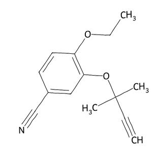 C#CC(C)(C)Oc1cc(C#N)ccc1OCC